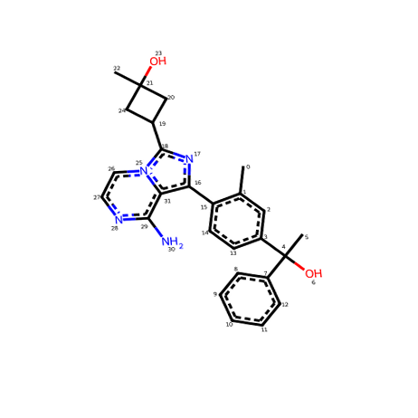 Cc1cc(C(C)(O)c2ccccc2)ccc1-c1nc(C2CC(C)(O)C2)n2ccnc(N)c12